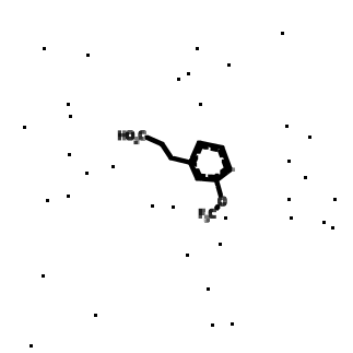 O=C(O)CCc1cc[c]c(OC(F)(F)F)c1